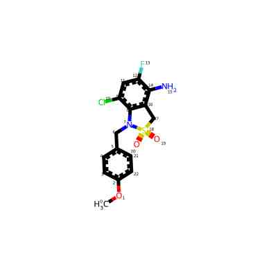 COc1ccc(CN2c3c(Cl)cc(F)c(N)c3CS2(=O)=O)cc1